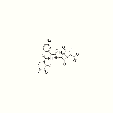 CCN1CCN(C(=O)NC(C(=O)NC2C(=O)N3C(C(=O)[O-])C(C)C(=O)[C@H]23)c2ccccc2)C(=O)C1=O.[Na+]